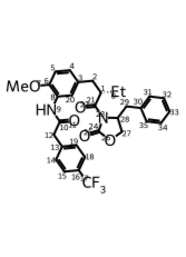 CC[C@@H](Cc1ccc(OC)c(NC(=O)Cc2ccc(C(F)(F)F)cc2)c1)C(=O)N1C(=O)OCC1Cc1ccccc1